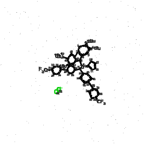 CC(C)(C)c1cc2c(cc1C(C)(C)C)[CH]([Zr+2]([C]1=CC=CC1)=[C](c1ccc(-c3ccc(C(F)(F)F)cc3)cc1)c1ccc(-c3ccc(C(F)(F)F)cc3)cc1)c1cc(C(C)(C)C)c(C(C)(C)C)cc1-2.[Cl-].[Cl-]